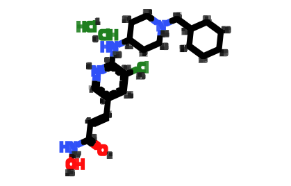 Cl.Cl.O=C(/C=C/c1cnc(NC2CCN(CC3CCCCC3)CC2)c(Cl)c1)NO